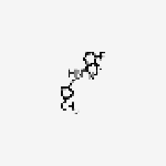 Cc1ccc(CCNc2ncnc3c(F)cccc23)cc1